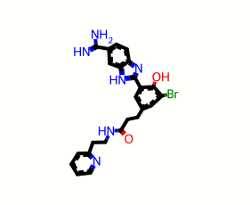 N=C(N)c1ccc2nc(-c3cc(CCC(=O)NCCc4ccccn4)cc(Br)c3O)[nH]c2c1